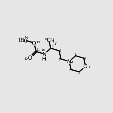 CC(CCN1CCOCC1)NC(=O)OC(C)(C)C